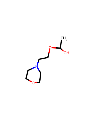 CC(O)OCCN1CCOCC1